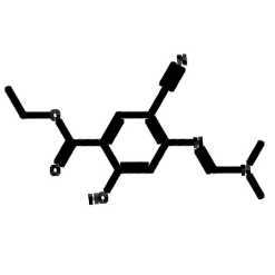 CCOC(=O)c1cc(C#N)c(N=CN(C)C)cc1O